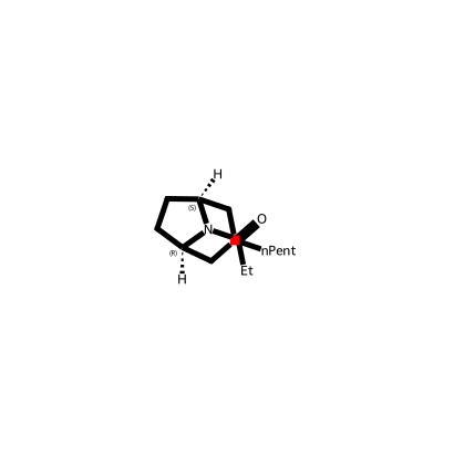 CCCCCN1C[C@H]2CC[C@@H](C1)N2C(=O)CC